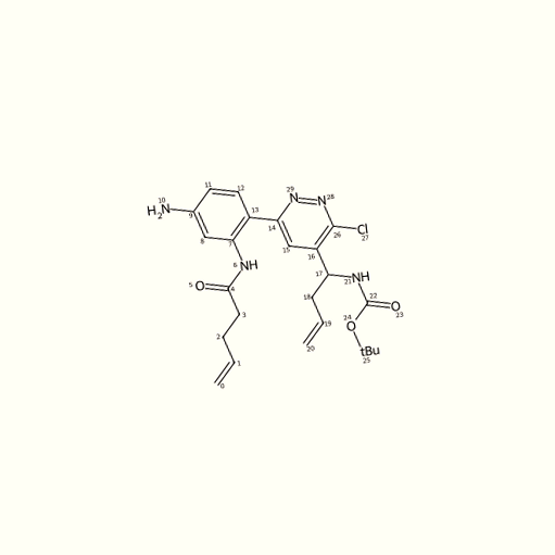 C=CCCC(=O)Nc1cc(N)ccc1-c1cc(C(CC=C)NC(=O)OC(C)(C)C)c(Cl)nn1